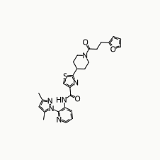 Cc1cc(C)n(-c2ncccc2NC(=O)c2csc(C3CCN(C(=O)CCc4ccco4)CC3)n2)n1